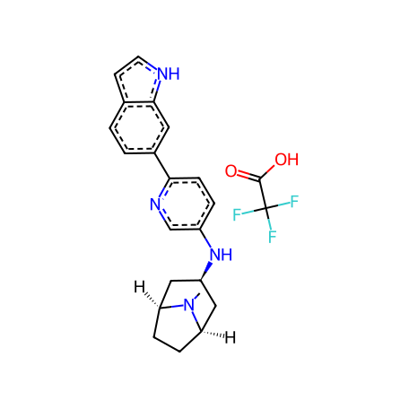 CN1[C@@H]2CC[C@H]1C[C@@H](Nc1ccc(-c3ccc4cc[nH]c4c3)nc1)C2.O=C(O)C(F)(F)F